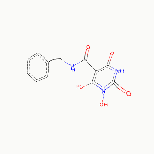 O=C(NCc1ccccc1)c1c(O)n(O)c(=O)[nH]c1=O